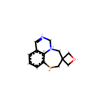 C1=NCN2CC3(COC3)CSc3cccc1c32